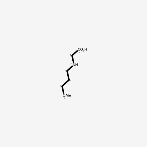 COCCCNCC(=O)O